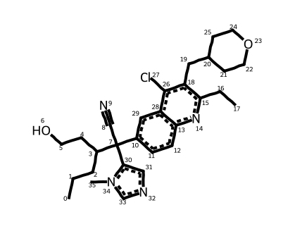 CCCC(CCO)C(C#N)(c1ccc2nc(CC)c(CC3CCOCC3)c(Cl)c2c1)c1cncn1C